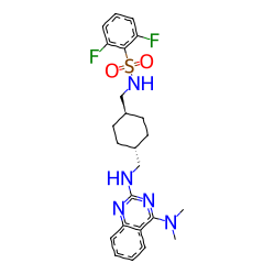 CN(C)c1nc(NC[C@H]2CC[C@H](CNS(=O)(=O)c3c(F)cccc3F)CC2)nc2ccccc12